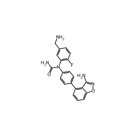 NCc1ccc(F)c(N(C(N)=O)c2ccc(-c3cccc4onc(N)c34)cc2)c1